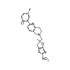 CC1(CN2CCc3nc(-c4cc(F)ccc4Cl)ccc3C2)Cn2cc([N+](=O)[O-])nc2O1